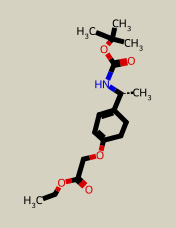 CCOC(=O)COC1=CC=C([C@@H](C)NC(=O)OC(C)(C)C)CC1